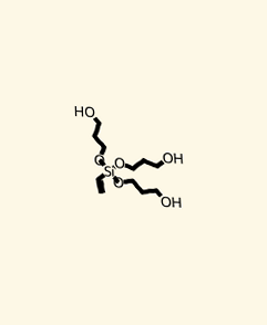 C=C[Si](OCCCO)(OCCCO)OCCCO